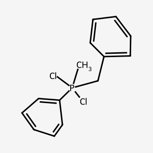 CP(Cl)(Cl)(Cc1ccccc1)c1ccccc1